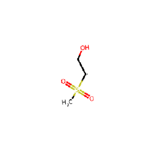 CS(=O)(=O)[CH]CO